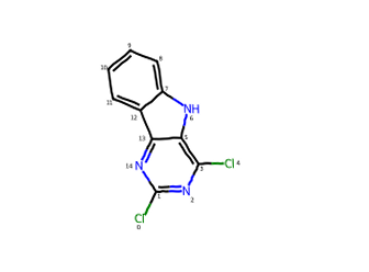 Clc1nc(Cl)c2[nH]c3ccccc3c2n1